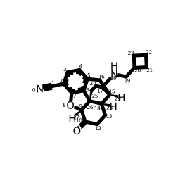 N#Cc1ccc2c3c1O[C@H]1C(=O)CC[C@H]4[C@@H](C2)C(NCC2CCC2)CC[C@]314